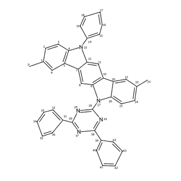 Cc1ccc2c(c1)c1cc3c(cc1n2-c1ccccc1)c1cc(C)ccc1n3-c1nc(-c2ccccc2)nc(-c2ccccc2)n1